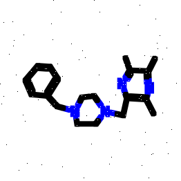 Cc1nc(C)c(CN2CCN(Cc3ccccc3)CC2)nc1C